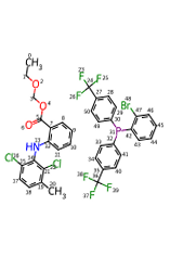 CCOCOC(=O)c1ccccc1Nc1c(Cl)ccc(C)c1Cl.FC(F)(F)c1ccc(P(c2ccc(C(F)(F)F)cc2)c2ccccc2Br)cc1